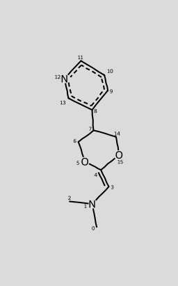 CN(C)C=C1OCC(c2cccnc2)CO1